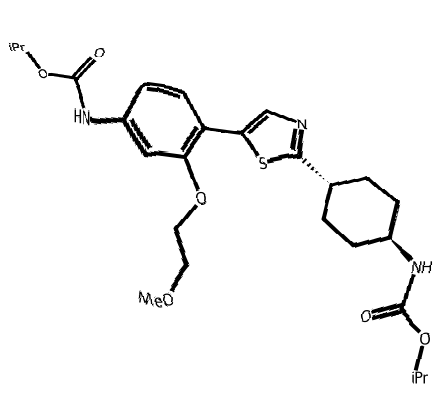 COCCOc1cc(NC(=O)OC(C)C)ccc1-c1cnc([C@H]2CC[C@H](NC(=O)OC(C)C)CC2)s1